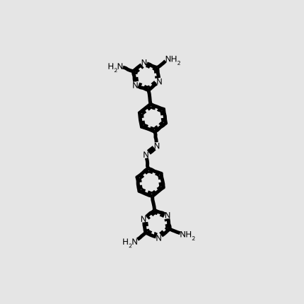 Nc1nc(N)nc(-c2ccc(/N=N/c3ccc(-c4nc(N)nc(N)n4)cc3)cc2)n1